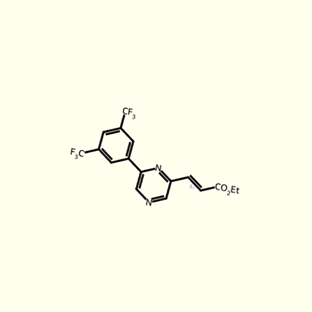 CCOC(=O)/C=C/c1cncc(-c2cc(C(F)(F)F)cc(C(F)(F)F)c2)n1